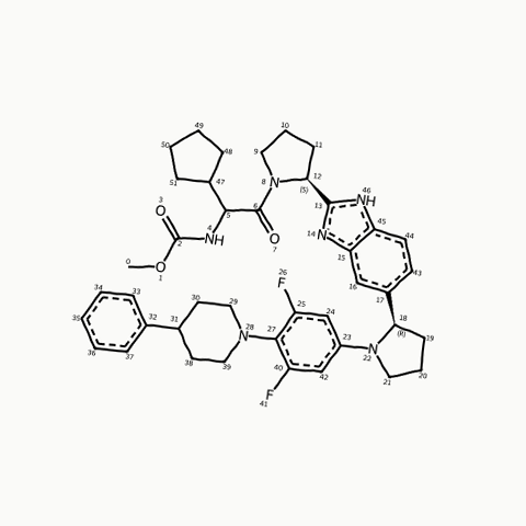 COC(=O)NC(C(=O)N1CCC[C@H]1c1nc2cc([C@H]3CCCN3c3cc(F)c(N4CCC(c5ccccc5)CC4)c(F)c3)ccc2[nH]1)C1CCCC1